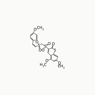 COc1ccc(/C=C\S(=O)(=O)CS(=O)(=O)c2cc3c(OC)cc(OC)cc3sc2=O)cc1